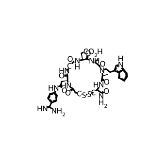 C[C@@H]1NC(=O)[C@H](CC(=O)O)NC(=O)CNC(=O)[C@H](CC(=O)Nc2ccc(C(=N)N)cc2)NC(=O)CCSSCC(C(N)=O)NC(=O)[C@H](C)N(CCc2c[nH]c3ccccc23)C1=O